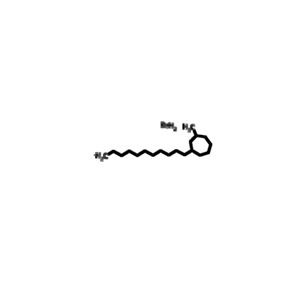 [BeH2].[CH2]CCCCCCCCCCC1CCCCC(C)C1